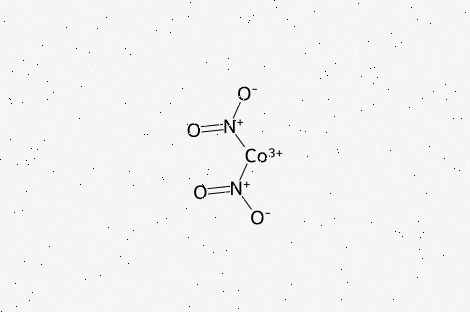 O=[N+]([O-])[Co+3][N+](=O)[O-]